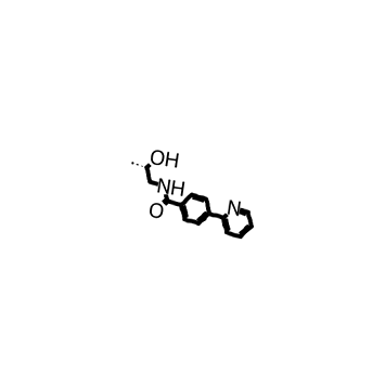 C[C@H](O)CNC(=O)c1ccc(-c2ccccn2)cc1